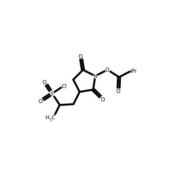 CC(C)C(=O)ON1C(=O)CC(CC(C)S(=O)(=O)Cl)C1=O